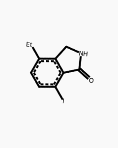 CCc1ccc(I)c2c1CNC2=O